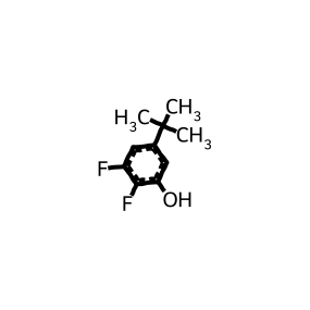 CC(C)(C)c1cc(O)c(F)c(F)c1